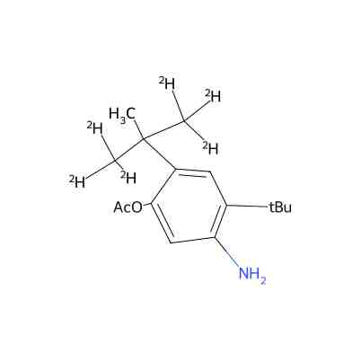 [2H]C([2H])([2H])C(C)(c1cc(C(C)(C)C)c(N)cc1OC(C)=O)C([2H])([2H])[2H]